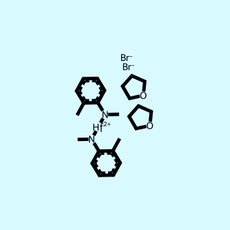 C1CCOC1.C1CCOC1.Cc1ccccc1[N](C)[Hf+2][N](C)c1ccccc1C.[Br-].[Br-]